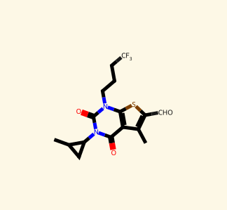 Cc1c(C=O)sc2c1c(=O)n(C1CC1C)c(=O)n2CCCC(F)(F)F